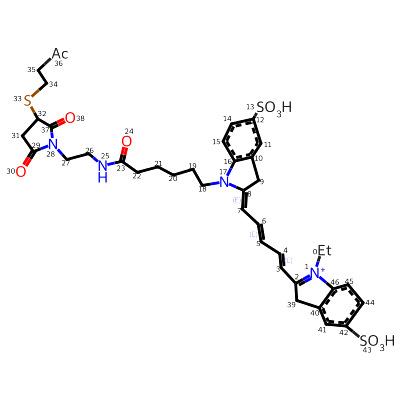 CC[N+]1=C(/C=C/C=C/C=C2\Cc3cc(S(=O)(=O)O)ccc3N2CCCCCC(=O)NCCN2C(=O)CC(SCCC(C)=O)C2=O)Cc2cc(S(=O)(=O)O)ccc21